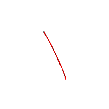 CC#CC#CC#CC#CC#CC#CC#CC#CC#CC#CC#CC#CC#CC#CC#CC#CC#CC#CC#CC#CC#CC#CC#CC#CC#CC#CC#CC#CC#CC#CC#CC#CC#CC#CC#CC#CC#CC#CC#CC#CC#CC#CC#CC#CC#CC#CC#CC#CC#CC#CC#CC#N